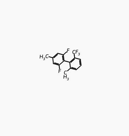 Cc1cc(F)c(-c2c(C)cccc2C(F)(F)F)c(F)c1